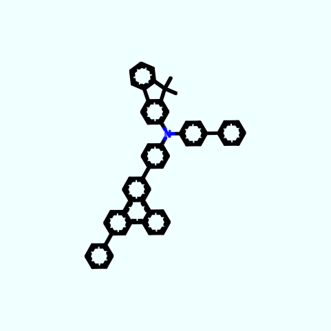 CC1(C)c2ccccc2-c2ccc(N(c3ccc(-c4ccccc4)cc3)c3ccc(-c4ccc5c6ccc(-c7ccccc7)cc6c6ccccc6c5c4)cc3)cc21